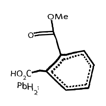 COC(=O)c1ccccc1C(=O)O.[PbH2]